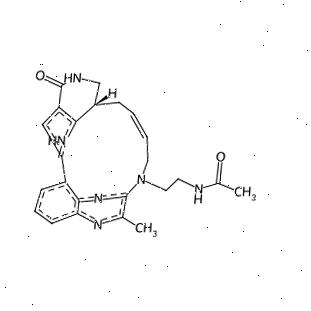 CC(=O)NCCN1C/C=C\C[C@H]2CNC(=O)c3cc([nH]c32)-c2cccc3nc(C)c1nc23